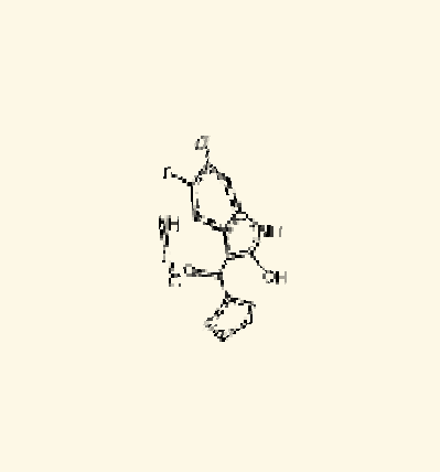 N=C=O.O=C(c1cccs1)c1c(O)[nH]c2cc(Cl)c(F)cc12